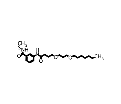 CCCCCCCOCCCOCCCC(=O)Nc1cccc(C(=O)NSC)c1